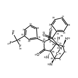 O=C1[C@@H]2[C@H]3CC[C@@H]([C@@H]2C(=O)N1c1cccc(C(F)(F)F)c1)N(C(=O)c1ccccc1)C3